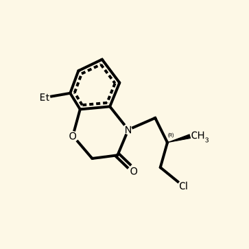 CCc1cccc2c1OCC(=O)N2C[C@@H](C)CCl